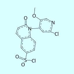 COc1cnc(Cl)cc1-n1c(=O)ccc2cc(S(=O)(=O)Cl)ccc21